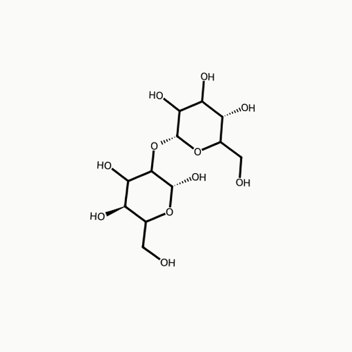 OCC1O[C@H](OC2C(O)[C@H](O)C(CO)O[C@H]2O)C(O)C(O)[C@@H]1O